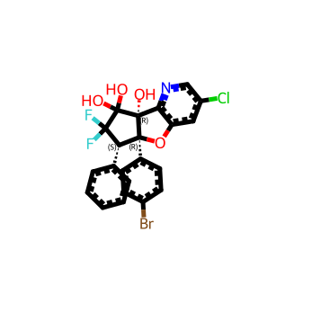 OC1(O)C(F)(F)[C@@H](c2ccccc2)[C@]2(c3ccc(Br)cc3)Oc3cc(Cl)cnc3[C@]12O